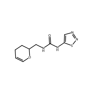 O=C(NCC1CCC=CO1)Nc1cnns1